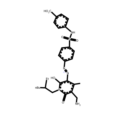 CCCCC(CC)Cn1c(O)c(/N=N/c2ccc(S(=O)(=O)Nc3ccc(C(=O)O)cc3)cc2)c(C)c(CN)c1=O